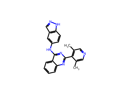 Cc1cncc(C)c1-c1nc(Nc2ccc3[nH]ncc3c2)c2ccccc2n1